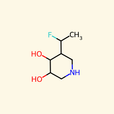 CC(F)C1CNCC(O)C1O